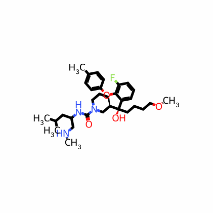 CNCC(CC(C)C)NC(=O)N1CCC[C@@H]([C@@](O)(CCCCOC)c2cccc(F)c2Oc2ccc(C)cc2)C1